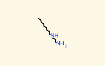 CCCCCCCCCNCCCN